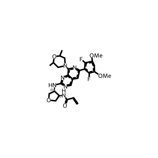 C=CC(=O)N[C@H]1COC[C@H]1Nc1ncc2cc(-c3c(F)c(OC)cc(OC)c3F)nc(N3CC(C)OC(C)C3)c2n1